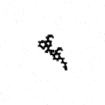 COc1ccc(C(=O)NC[C@@H]2CCN(CCCC#N)CC2OC)c2c1OCCO2